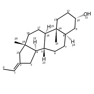 CC=C1C[C@@H]2[C@H]3CC[C@@H]4C[C@@H](O)CC[C@@]4(C)[C@@H]3CC[C@@]2(C)C1